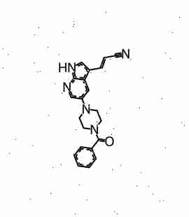 N#C/C=C/c1c[nH]c2ncc(N3CCN(C(=O)c4ccccc4)CC3)cc12